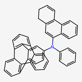 C1=Cc2c(cc(N(c3ccccc3)c3ccc4c(c3)-c3c5cccc3-c3cccc-4c3-c3ccccc3-5)c3ccccc23)CC1